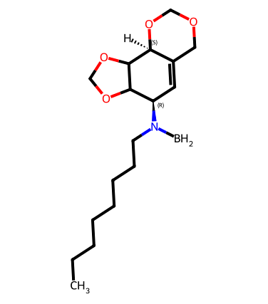 BN(CCCCCCCC)[C@@H]1C=C2COCO[C@@H]2C2OCOC21